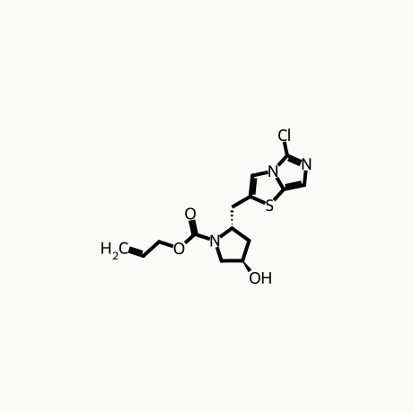 C=CCOC(=O)N1C[C@H](O)C[C@H]1Cc1cn2c(Cl)ncc2s1